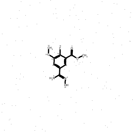 COC(=O)c1cc(/C(N)=N/O)cc(OC)c1F